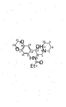 CCC(=O)NC(CN1CCCCC1)C(O)c1ccc2c(c1)OCCO2